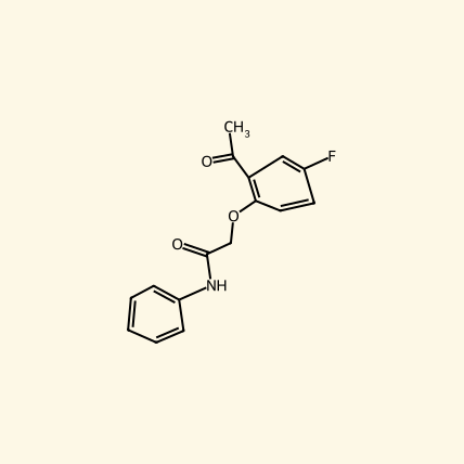 CC(=O)c1cc(F)ccc1OCC(=O)Nc1ccccc1